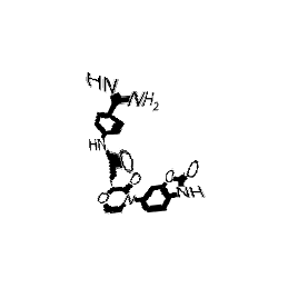 N=C(N)c1ccc(NC(=O)C[C@H]2OCCN(c3ccc4[nH]c(=O)oc4c3)C2=O)cc1